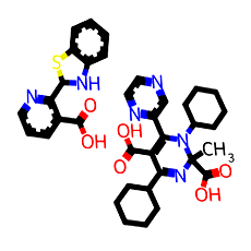 CC1(C(=O)O)N=C(C2CCCCC2)C(C(=O)O)=C(c2cnccn2)N1C1CCCCC1.O=C(O)c1cccnc1C1Nc2ccccc2S1